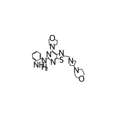 Nc1ccccc1Nc1nc(N2CCOCC2)c2nc(CN3CC(N4CCOCC4)C3)sc2n1